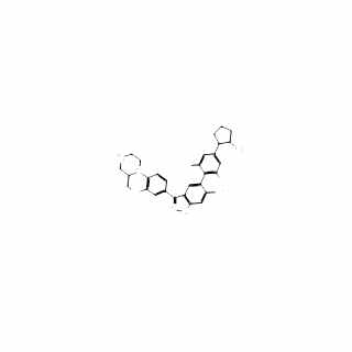 CN1CCN2c3ccc(-c4n[nH]c5cc(C#N)c(-c6c(F)cc(C7CCCC7N)cc6F)cc45)cc3OCC2C1